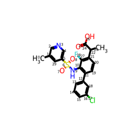 Cc1cncc(S(=O)(=O)Nc2c(-c3cccc(Cl)c3)ccc(C(C)C(=O)O)c2F)c1